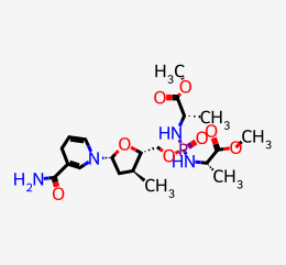 COC(=O)[C@H](C)NP(=O)(N[C@@H](C)C(=O)OC)OC[C@H]1O[C@@H](N2C=CCC(C(N)=O)=C2)C[C@@H]1C